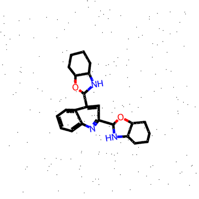 c1ccc2c(C3NC4CCCCC4O3)cc(C3NC4CCCCC4O3)nc2c1